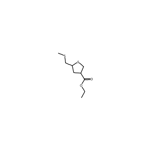 CCOC(=O)C1CSC(CSC)C1